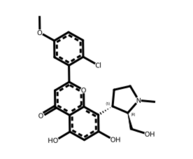 COc1ccc(Cl)c(-c2cc(=O)c3c(O)cc(O)c([C@@H]4CCN(C)[C@H]4CO)c3o2)c1